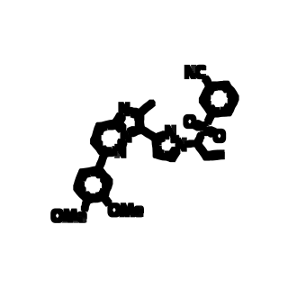 C=CC(n1ccc(-c2c(C)nc3ccc(-c4ccc(OC)c(OC)c4)nn23)n1)S(=O)(=O)c1cccc(C#N)c1